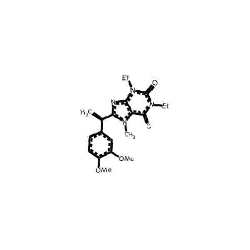 C=C(c1ccc(OC)c(OC)c1)c1nc2c(c(=O)n(CC)c(=O)n2CC)n1C